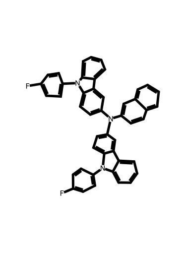 Fc1ccc(-n2c3ccccc3c3cc(N(c4ccc5ccccc5c4)c4ccc5c(c4)c4ccccc4n5-c4ccc(F)cc4)ccc32)cc1